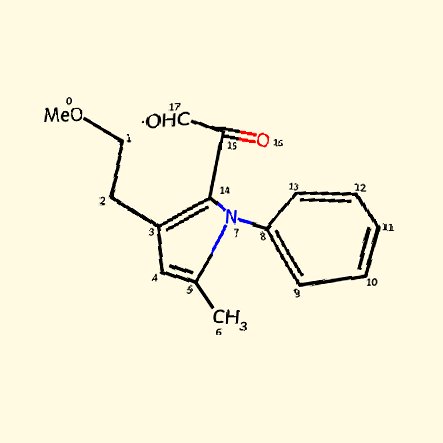 COCCc1cc(C)n(-c2ccccc2)c1C(=O)[C]=O